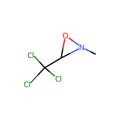 CN1OC1C(Cl)(Cl)Cl